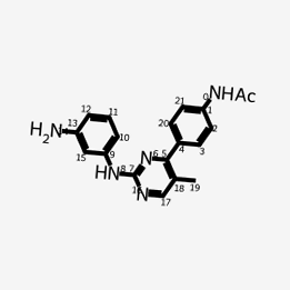 CC(=O)Nc1ccc(-c2nc(Nc3cccc(N)c3)ncc2C)cc1